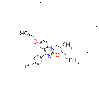 C#CCOc1ccc2c(c1)c(-c1ccc(C(C)C)cc1)nc(=O)n2CC(C)C/C=C/C